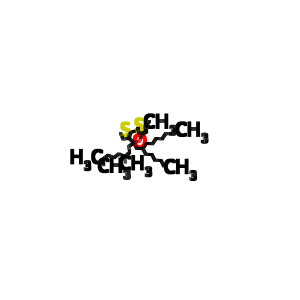 CCCCCCCCC(CCCCCC)CC1(CCC(C)CCCC(C)C)Oc2cc(C)sc2C2=C1CCS2